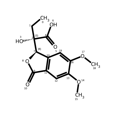 CC[C@@](O)(C(=O)O)[C@@H]1OC(=O)c2cc(OC)c(OC)cc21